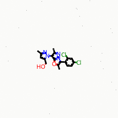 Cc1cc(CO)n(-c2c(C)nn3c(-c4ccc(Cl)cc4Cl)c(C)oc23)n1